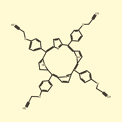 C#CCOc1ccc(C2=C3C=CC(=N3)C(c3ccc(OCC#C)cc3)=c3ccc([nH]3)=C(c3ccc(OCC#C)cc3)C3=NC(=C(c4ccc(OCC#C)cc4)C4CC=C2N4)C=C3)cc1